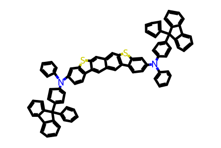 c1ccc(N(c2ccc(C3(c4ccccc4)c4ccccc4-c4ccccc43)cc2)c2ccc3c(c2)sc2cc4cc5sc6cc(N(c7ccccc7)c7ccc(C8(c9ccccc9)c9ccccc9-c9ccccc98)cc7)ccc6c5cc4cc23)cc1